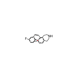 Fc1cccc(/C=C\c2c(Cl)ccc3c2CCNCC3)c1